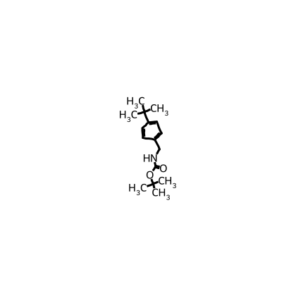 CC(C)(C)OC(=O)NCc1ccc(C(C)(C)C)cc1